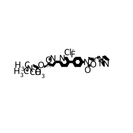 C[N+](C)(C)CC(=O)OC[C@@H]1CC(c2ccc(-c3ccc(N4C[C@H](Cn5ccnn5)OC4=O)cc3F)cn2)=NO1.[Cl-]